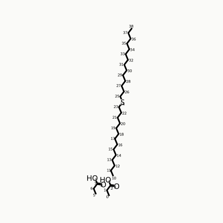 CCC(=O)O.CCC(=O)O.CCCCCCCCCCCCCCSCCCCCCCCCCCCCC